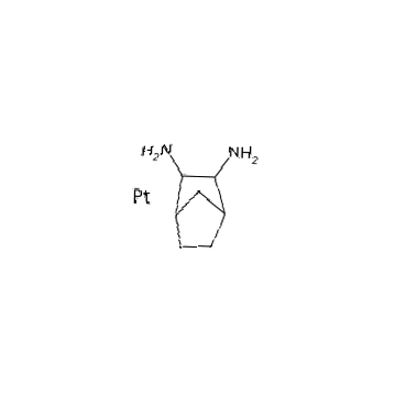 NC1C2CCC(C2)C1N.[Pt]